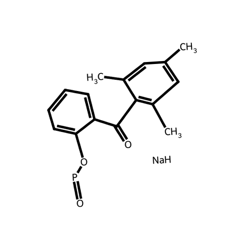 Cc1cc(C)c(C(=O)c2ccccc2OP=O)c(C)c1.[NaH]